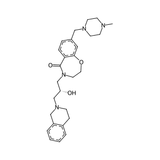 CN1CCN(Cc2ccc3c(c2)OCCN(C[C@H](O)CN2CCc4ccccc4C2)C3=O)CC1